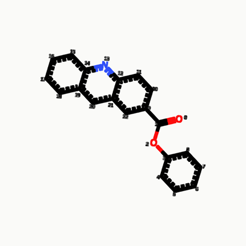 O=C(Oc1ccccc1)c1ccc2nc3ccccc3cc2c1